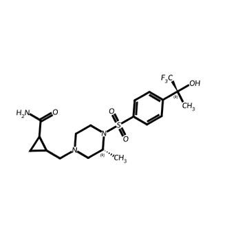 C[C@@H]1CN(CC2CC2C(N)=O)CCN1S(=O)(=O)c1ccc([C@@](C)(O)C(F)(F)F)cc1